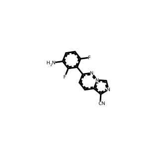 N#Cc1ncn2nc(-c3c(F)ccc(N)c3F)ccc12